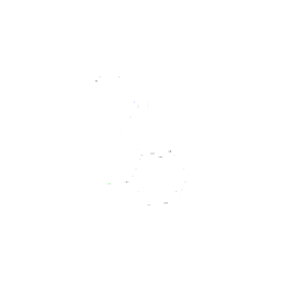 O=CNOc1ccccc1Cl